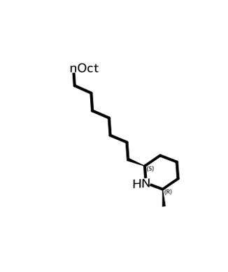 CCCCCCCCCCCCCCC[C@H]1CCC[C@@H](C)N1